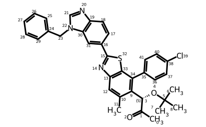 CC(=O)[C@@H](OC(C)(C)C)c1c(C)cc2nc(-c3ccc4ncn(Cc5ccccc5)c4c3)sc2c1-c1ccc(Cl)cc1